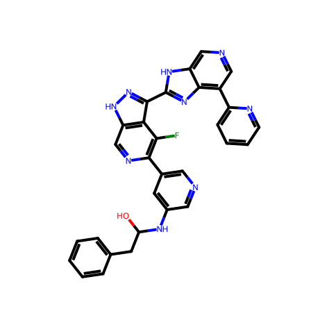 OC(Cc1ccccc1)Nc1cncc(-c2ncc3[nH]nc(-c4nc5c(-c6ccccn6)cncc5[nH]4)c3c2F)c1